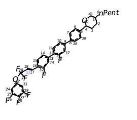 CCCCCC1CCC(c2ccc(-c3ccc(-c4ccc(/C=C/C(F)(F)Oc5cc(F)c(F)c(F)c5)c(F)c4)c(F)c3)cc2)OC1